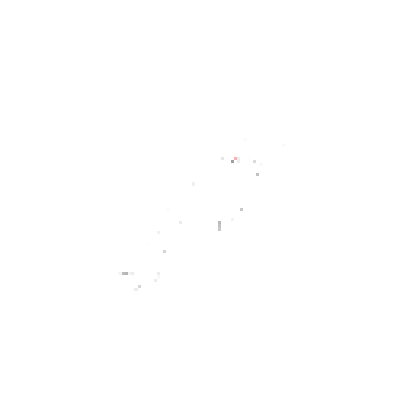 CO[C@]1(C)C[C@@H](C)CN(C)[C@@H](CN2CCN(S(=O)(=O)c3ccc4ccccc4c3)CC2)[C@H](C)OC(=O)C(C)(C)C(=O)[C@H](C)[C@H]1O[C@@H]1O[C@H](C)C[C@H](N(C)C)[C@H]1O